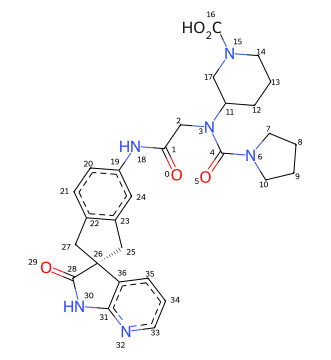 O=C(CN(C(=O)N1CCCC1)C1CCCN(C(=O)O)C1)Nc1ccc2c(c1)C[C@@]1(C2)C(=O)Nc2ncccc21